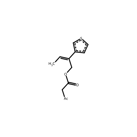 CC=C(COC(=O)CC(C)=O)c1ccsc1